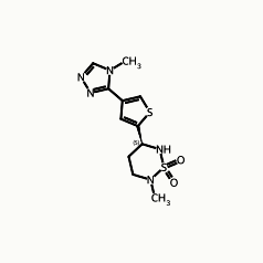 CN1CC[C@@H](c2cc(-c3nncn3C)cs2)NS1(=O)=O